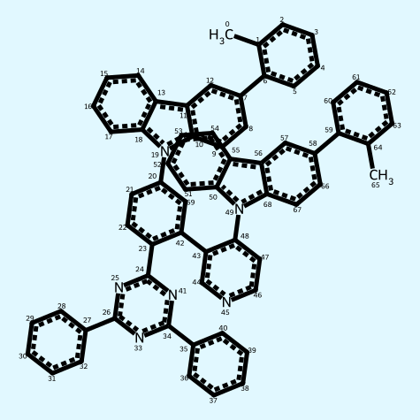 Cc1ccccc1-c1ccc2c(c1)c1ccccc1n2-c1ccc(-c2nc(-c3ccccc3)nc(-c3ccccc3)n2)c(-c2cnccc2-n2c3ccccc3c3cc(-c4ccccc4C)ccc32)c1